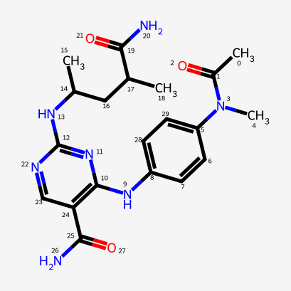 CC(=O)N(C)c1ccc(Nc2nc(NC(C)CC(C)C(N)=O)ncc2C(N)=O)cc1